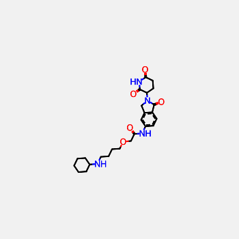 O=C1CCC(N2Cc3cc(NC(=O)COCCCCNC4CCCCC4)ccc3C2=O)C(=O)N1